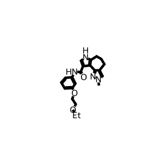 CCOCCOc1cccc(NC(=O)c2c[nH]c3c2-c2nn(C)cc2CCC3)c1